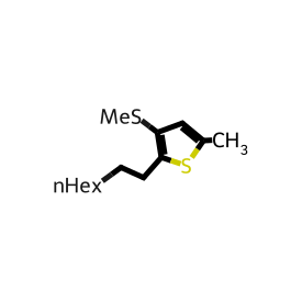 CCCCCCCCc1sc(C)cc1SC